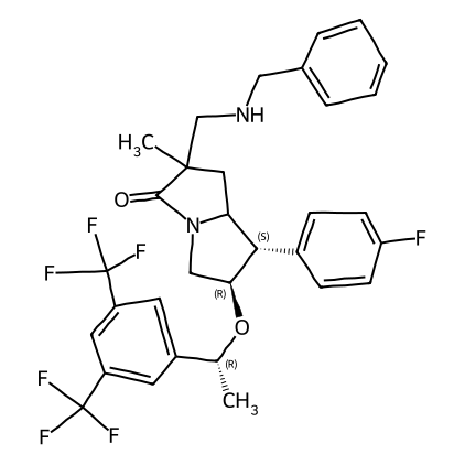 C[C@@H](O[C@H]1CN2C(=O)C(C)(CNCc3ccccc3)CC2[C@@H]1c1ccc(F)cc1)c1cc(C(F)(F)F)cc(C(F)(F)F)c1